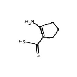 NC1=C(C(=S)S)CCC1